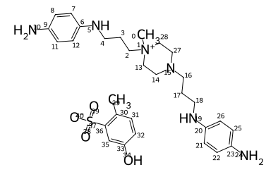 C[N+]1(CCCNc2ccc(N)cc2)CCN(CCCNc2ccc(N)cc2)CC1.Cc1ccc(O)cc1S(=O)(=O)[O-]